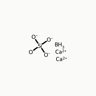 B.[Ca+2].[Ca+2].[O-][Si]([O-])([O-])[O-]